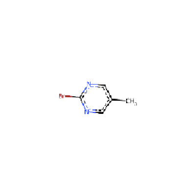 Cc1cnc(Br)nc1